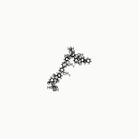 [2H]C([2H])([2H])Oc1ncc(-c2ccnc(N3CCc4c(sc5c4CCCC5)C3=O)c2C(C)(C)O)cc1Nc1ccc(N2CCN(C3CCN(c4ccc5c(c4)C(=O)N(C4CCC(=O)N(COP(=O)(O)O)C4=O)C5=O)[C@H](C)C3)C[C@@H]2C)cn1